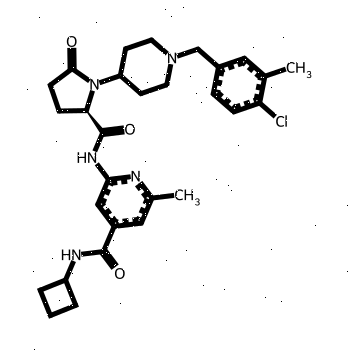 Cc1cc(C(=O)NC2CCC2)cc(NC(=O)[C@H]2CCC(=O)N2C2CCN(Cc3ccc(Cl)c(C)c3)CC2)n1